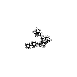 CCC(CCCCO[C@@]1(C)[C@@H](OCc2ccc(-c3ccccc3)cc2)CC[C@@H]1N1CCCCC1)C(=O)OC